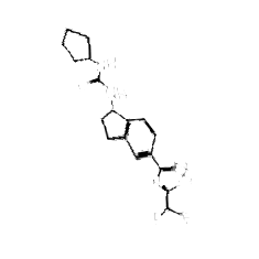 O=C(NC1CCCC1)N[C@@H]1CCc2cc(-c3noc(C(F)F)n3)ccc21